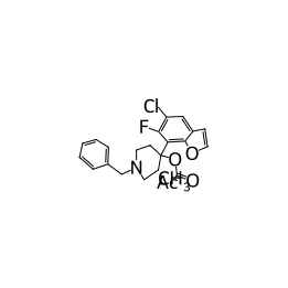 CC(=O)C(=O)OC1(c2c(F)c(Cl)cc3ccoc23)CCN(Cc2ccccc2)CC1C